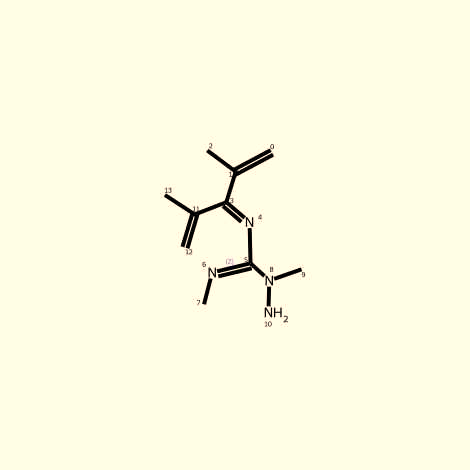 C=C(C)C(=N/C(=N/C)N(C)N)C(=C)C